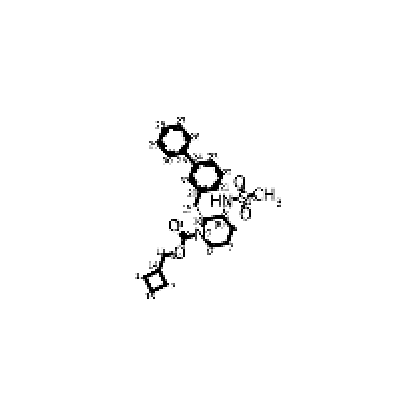 CS(=O)(=O)N[C@@H]1CCCN(C(=O)OCC2CCC2)[C@@H]1Cc1cccc(-c2ccccc2)c1